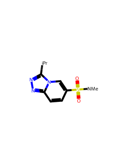 CNS(=O)(=O)c1ccc2nnc(C(C)C)n2c1